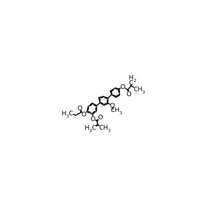 C=C(C)C(=O)Oc1ccc(-c2ccc(-c3ccc(OC(=O)CC)c(OC(=O)C(=C)C)c3)cc2OC)cc1